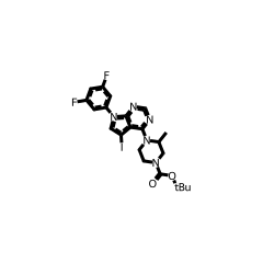 CC1CN(C(=O)OC(C)(C)C)CCN1c1ncnc2c1c(I)cn2-c1cc(F)cc(F)c1